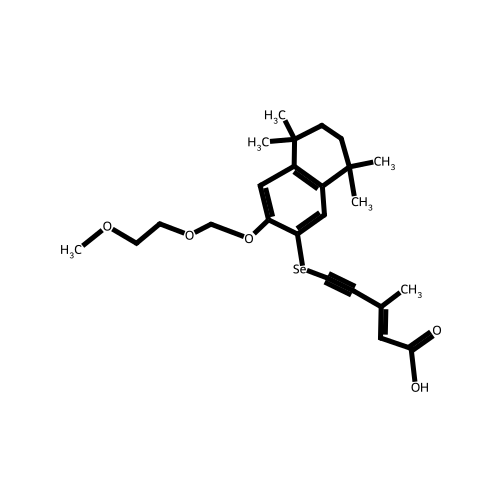 COCCOCOc1cc2c(cc1[Se]C#C/C(C)=C/C(=O)O)C(C)(C)CCC2(C)C